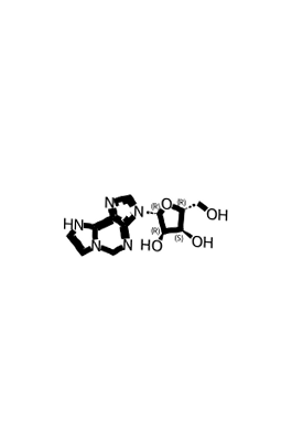 OC[C@H]1O[C@@H](n2cnc3c2=NCN2C=CNC=32)[C@H](O)[C@@H]1O